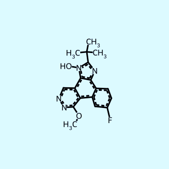 COc1nncc2c1c1cc(F)ccc1c1nc(C(C)(C)C)n(O)c21